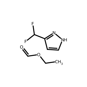 CCOC=O.FC(F)c1cc[nH]n1